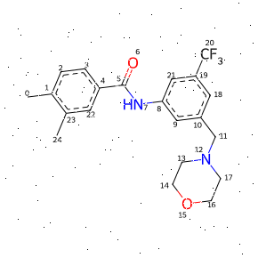 Cc1ccc(C(=O)Nc2cc(CN3CCOCC3)cc(C(F)(F)F)c2)cc1C